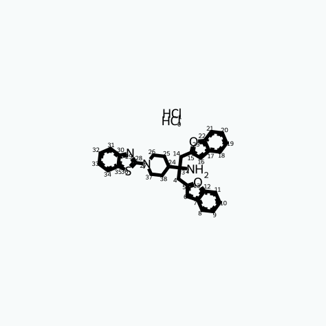 Cl.Cl.NC(Cc1cc2ccccc2o1)(Cc1cc2ccccc2o1)C1CCN(c2nc3ccccc3s2)CC1